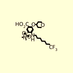 CN(C)S(=O)(=O)c1cc(C(=O)O)c(OC2CCOCC2)cc1NCCCCCCCC(F)(F)F